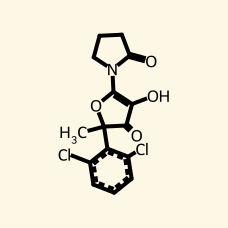 CC1(c2c(Cl)cccc2Cl)OC(N2CCCC2=O)=C(O)C1=O